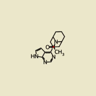 CC(=O)N1C2CCCC1CN(c1ncnc3[nH]ccc13)C2